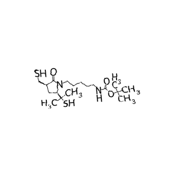 CC(C)(C)OC(=O)NCCCCCN1C(=O)[C@H](CS)C[C@@H]1C(C)(C)S